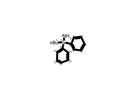 CCCC[Si](N)(c1ccccc1)c1ccccc1